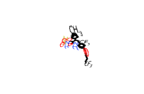 Cc1ccc(C2=C(C(=O)N[SH](=O)=O)C(=O)N[C@@](c3ccc(OCCCC(F)(F)F)cc3)(C(F)(F)F)C2)cc1